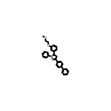 COCCOc1cccc(C2CC(c3ccc(-c4ccccc4)cc3)=NN2c2ccccc2)c1